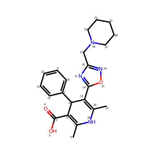 CC1=C(C(=O)O)C(c2ccccc2)C(c2nc(CN3CCCCC3)no2)=C(C)N1